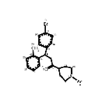 CC(=O)N1CCC(C(=O)CC(c2ccc(Br)cc2)c2ccccc2C)CC1